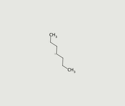 CCC[C]CCC